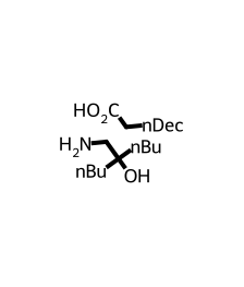 CCCCC(O)(CN)CCCC.CCCCCCCCCCCC(=O)O